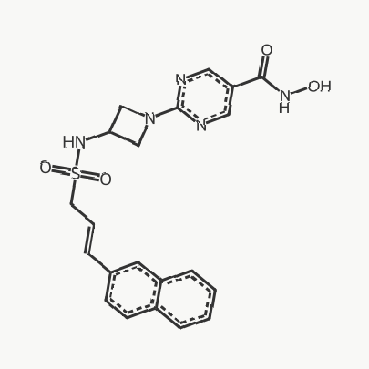 O=C(NO)c1cnc(N2CC(NS(=O)(=O)CC=Cc3ccc4ccccc4c3)C2)nc1